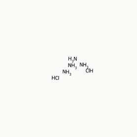 Cl.Cl.N.N.N.N